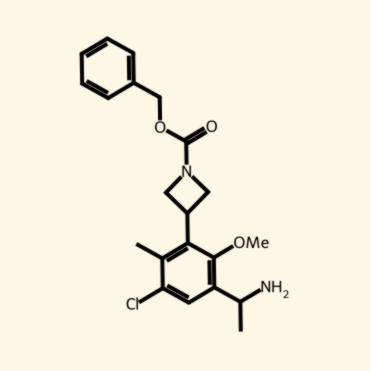 COc1c(C(C)N)cc(Cl)c(C)c1C1CN(C(=O)OCc2ccccc2)C1